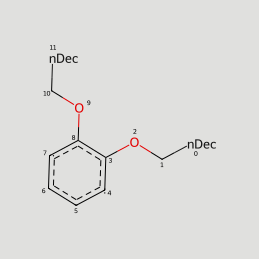 CCCCCCCCCCCOc1[c]cc[c]c1OCCCCCCCCCCC